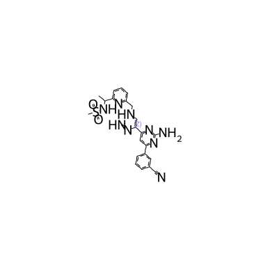 CC(NS(C)(=O)=O)c1cccc(CN/C=C(\N=N)c2cc(-c3cccc(C#N)c3)nc(N)n2)n1